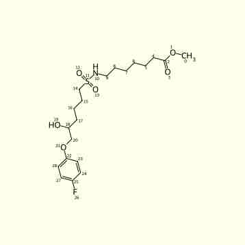 COC(=O)CCCCCCNS(=O)(=O)CCCCC(O)COc1ccc(F)cc1